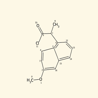 COc1ccc2c(C(C)C(=O)Cl)cccc2c1